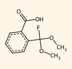 COC(F)(OC)c1ccccc1C(=O)O